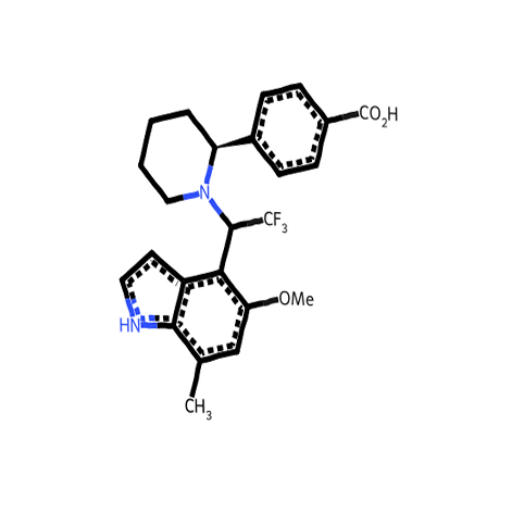 COc1cc(C)c2[nH]ccc2c1C(N1CCCC[C@H]1c1ccc(C(=O)O)cc1)C(F)(F)F